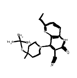 BC(B)(B)OC1(C)CCN(c2c(C#N)c(=O)[nH]c3ccc(CC)nc23)CC1